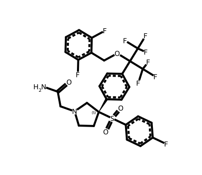 NC(=O)CN1CC[C@@](c2ccc(C(OCc3c(F)cccc3F)(C(F)(F)F)C(F)(F)F)cc2)(S(=O)(=O)c2ccc(F)cc2)C1